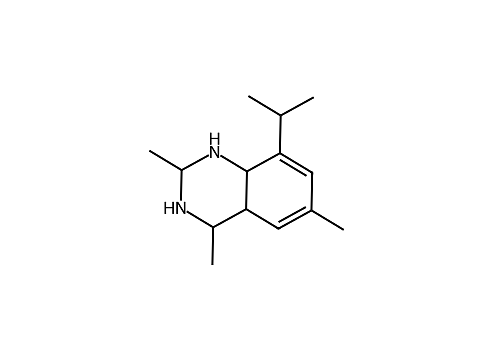 CC1=CC2C(C)NC(C)NC2C(C(C)C)=C1